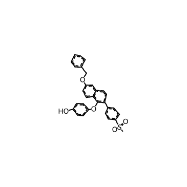 CS(=O)(=O)c1ccc(-c2ccc3cc(OCc4ccccc4)ccc3c2Oc2ccc(O)cc2)cc1